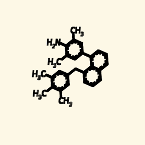 Cc1cc(Cc2cccc3cccc(-c4cc(C)c(N)c(C)c4)c23)cc(C)c1C